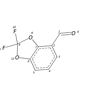 O=[C]c1cccc2c1OC(F)(F)O2